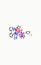 CC(O)(C(=O)NCCC(F)(F)F)C(=O)N[C@@H]1C(=O)N(CC(F)(F)F)c2ccccc2-c2ccccc21